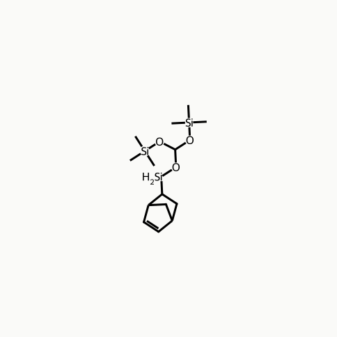 C[Si](C)(C)OC(O[SiH2]C1CC2C=CC1C2)O[Si](C)(C)C